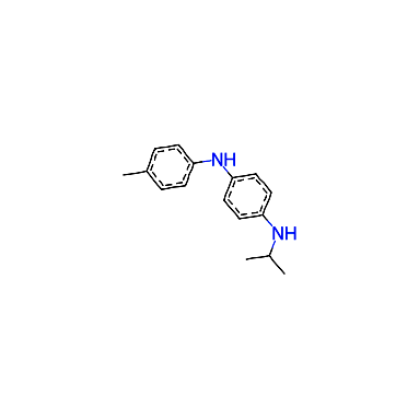 Cc1ccc(Nc2ccc(NC(C)C)cc2)cc1